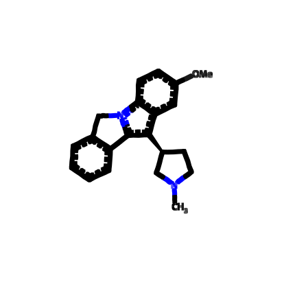 COc1ccc2c(c1)c([C@H]1CCN(C)C1)c1n2Cc2ccccc2-1